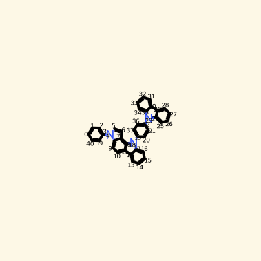 c1ccc(-n2ccc3c2ccc2c4ccccc4n(-c4ccc(-n5c6ccccc6c6ccccc65)cc4)c23)cc1